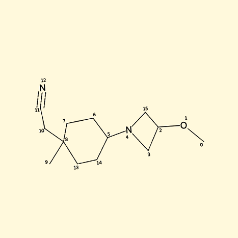 COC1CN(C2CCC(C)(CC#N)CC2)C1